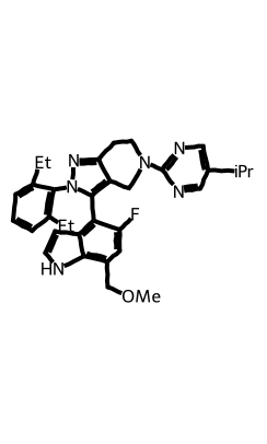 CCc1cccc(CC)c1-n1nc2c(c1-c1c(F)cc(COC)c3[nH]ccc13)CN(c1ncc(C(C)C)cn1)CC2